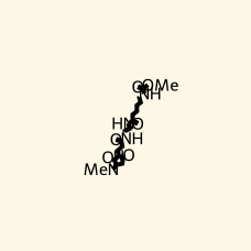 CNC1CC(=O)N(CCC(=O)NCCNC(=O)CCCCCNC(=O)OC)C1=O